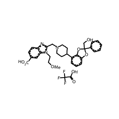 COCCn1c(CN2CCC(c3cccc4c3OC(CO)(c3ccccc3)O4)CC2)nc2ccc(C(=O)O)cc21.O=C(O)C(F)(F)F